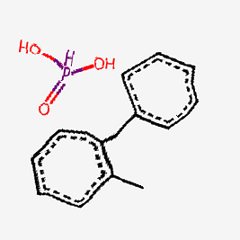 Cc1ccccc1-c1ccccc1.O=[PH](O)O